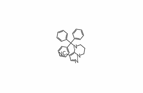 N#Cc1cnn2c1N(C(c1ccccc1)(c1ccccc1)c1ccccc1)CCC2